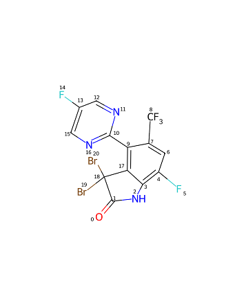 O=C1Nc2c(F)cc(C(F)(F)F)c(-c3ncc(F)cn3)c2C1(Br)Br